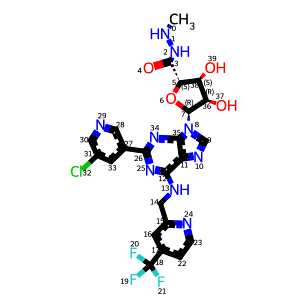 CNNC(=O)[C@H]1O[C@@H](n2cnc3c(NCc4cc(C(F)(F)F)ccn4)nc(-c4cncc(Cl)c4)nc32)[C@H](O)[C@@H]1O